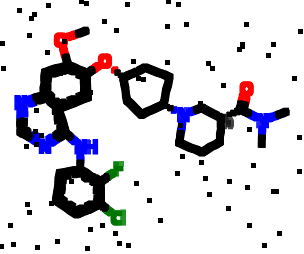 COc1cc2ncnc(Nc3cccc(Cl)c3F)c2cc1O[C@H]1CC[C@@H](N2CCC[C@@H](C(=O)N(C)C)C2)CC1